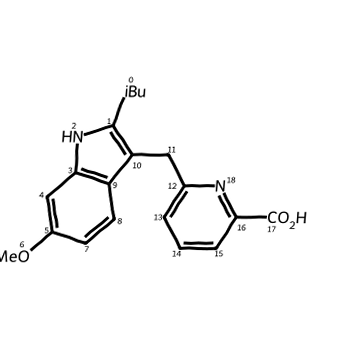 CCC(C)c1[nH]c2cc(OC)ccc2c1Cc1cccc(C(=O)O)n1